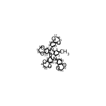 Cc1cc2c3c(c1)N(c1ccc4c(c1)OCCCO4)c1cc4c(cc1B3c1cc3c(cc1N2c1ccc2c(c1)OCCCO2)OCCCO3)OCCCO4